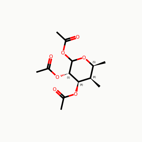 CC(=O)OC1O[C@@H](C)[C@@H](C)[C@@H](OC(C)=O)[C@@H]1OC(C)=O